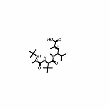 C/C(=C\C(C(C)C)N(C)C(=O)C(NC(=O)N(C)NC(C)(C)C)C(C)(C)C)C(=O)O